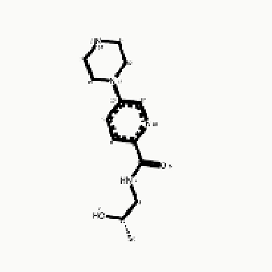 C[C@H](O)CNC(=O)c1ccc(N2CCNCC2)cn1